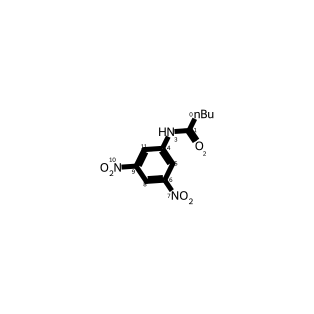 CCCCC(=O)Nc1cc([N+](=O)[O-])cc([N+](=O)[O-])c1